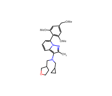 COCc1cc(OC)c(-c2cccc3c(N(CC4CC4)CC4CCOC4)c(C)nn23)c(OC)c1